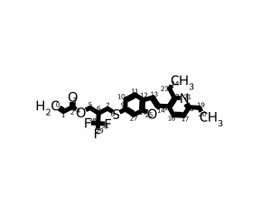 C=CC(=O)OCC(CSc1ccc2cc(-c3ccc(CC)nc3CC)oc2c1)C(F)(F)F